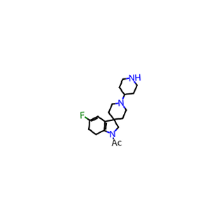 CC(=O)N1CC2(CCN(C3CCNCC3)CC2)C2=C1CCC(F)=C2